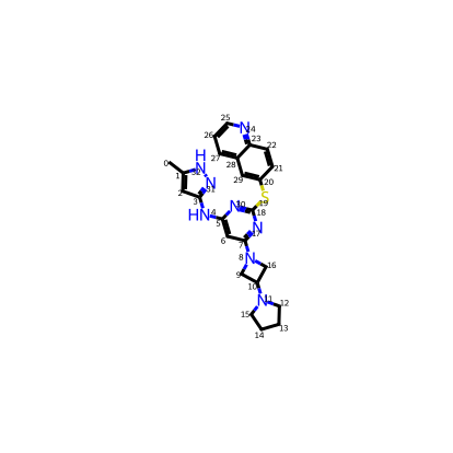 Cc1cc(Nc2cc(N3CC(N4CCCC4)C3)nc(Sc3ccc4ncccc4c3)n2)n[nH]1